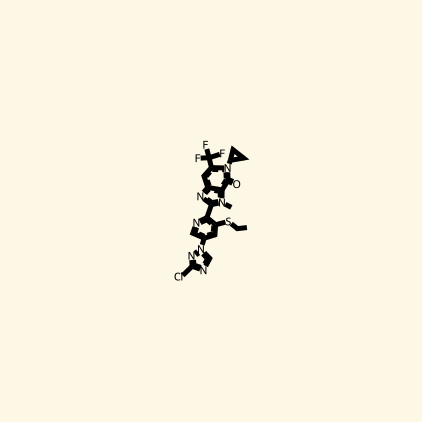 CCSc1cc(-n2cnc(Cl)n2)cnc1-c1nc2cc(C(F)(F)F)n(C3CC3)c(=O)c2n1C